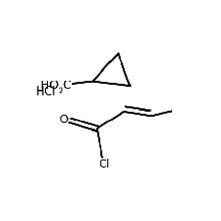 CC=CC(=O)Cl.Cl.O=C(O)C1CC1